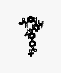 C=CC(=O)Nc1cccc(Nc2nc(Nc3ccc(N4CCN(C(=O)OC(C)(C)C)CC4)nc3OC)ncc2C(F)(F)F)c1